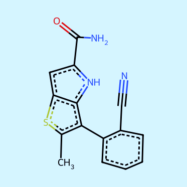 Cc1sc2cc(C(N)=O)[nH]c2c1-c1ccccc1C#N